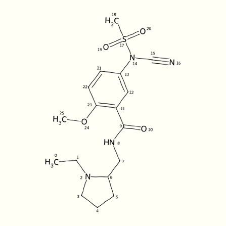 CCN1CCCC1CNC(=O)c1cc(N(C#N)S(C)(=O)=O)ccc1OC